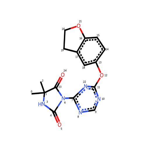 CC1(C)NC(=O)N(c2ncnc(Oc3ccc4c(c3)CCO4)n2)C1=O